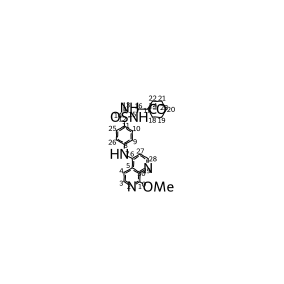 COc1nccc2c(Nc3ccc(S(=N)(=O)NCC45CCC(CC4)OC5)cc3)ccnc12